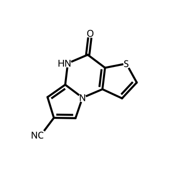 N#Cc1cc2[nH]c(=O)c3sccc3n2c1